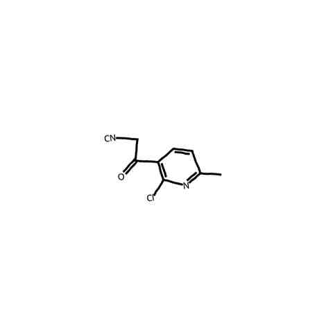 [C-]#[N+]CC(=O)c1ccc(C)nc1Cl